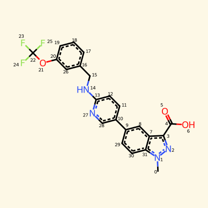 Cn1nc(C(=O)O)c2cc(-c3ccc(NCc4cccc(OC(F)(F)F)c4)nc3)ccc21